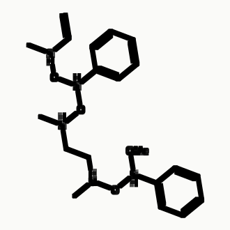 C=C[SiH](C)O[SiH](O[SiH](C)CC[SiH](C)O[SiH](OC)c1ccccc1)c1ccccc1